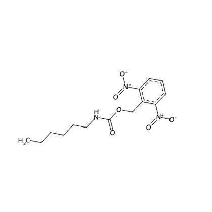 CCCCCCNC(=O)OCc1c([N+](=O)[O-])cccc1[N+](=O)[O-]